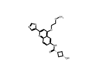 COCCOc1cc(-c2cncs2)nc2ccc(NC(=O)[C@H]3C[C@@H](O)C3)cc12